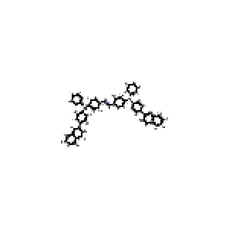 C(=C\c1ccc(N(c2ccccc2)c2ccc(-c3ccc4ccccc4c3)cc2)cc1)/c1ccc(N(c2ccccc2)c2ccc(-c3ccc4ccccc4c3)cc2)cc1